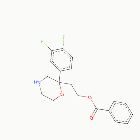 O=C(OCCC1(c2ccc(F)c(F)c2)CNCCO1)c1ccccc1